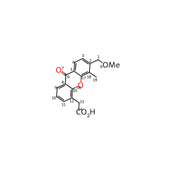 COCc1ccc2c(=O)c3cccc(CC(=O)O)c3oc2c1C